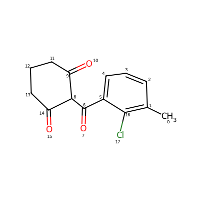 Cc1cccc(C(=O)C2C(=O)CCCC2=O)c1Cl